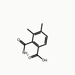 Cc1ccc(C(=O)O)c(C(N)=O)c1C